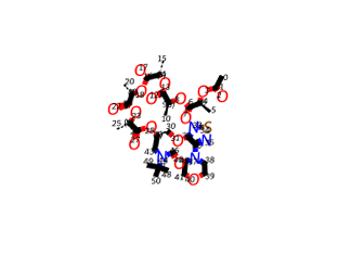 CC(=O)O[C@@H](C)C(=O)O[C@@H](C)C(=O)O[C@@H](C)C(=O)O[C@@H](C)C(=O)O[C@@H](C)C(=O)O[C@H](COc1nsnc1N1CCOCC1)CN(C=O)C(C)(C)C